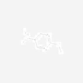 COc1ncc([SH](C)C)cn1